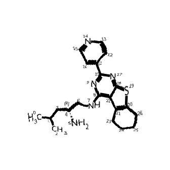 CC(C)C[C@@H](N)CNc1nc(-c2ccncc2)nc2sc3c(c12)CCCC3